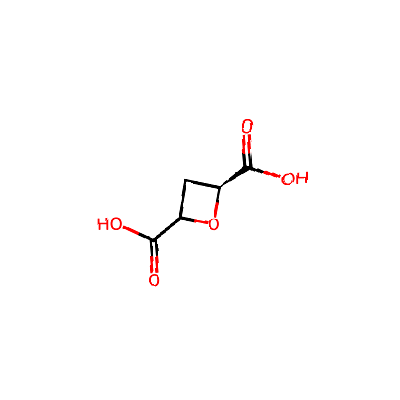 O=C(O)C1C[C@@H](C(=O)O)O1